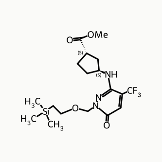 COC(=O)[C@H]1CC[C@H](Nc2nn(COCC[Si](C)(C)C)c(=O)cc2C(F)(F)F)C1